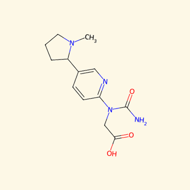 CN1CCCC1c1ccc(N(CC(=O)O)C(N)=O)nc1